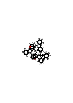 c1ccc(-n2c3ccccc3c3cccc(N4c5cccc6c5B(c5ccc7c8ccccc8n(-c8ccccc8)c7c54)n4c5ccccc5c5cccc-6c54)c32)cc1